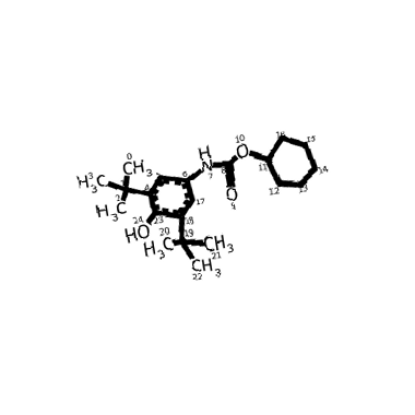 CC(C)(C)c1cc(NC(=O)OC2CCCCC2)cc(C(C)(C)C)c1O